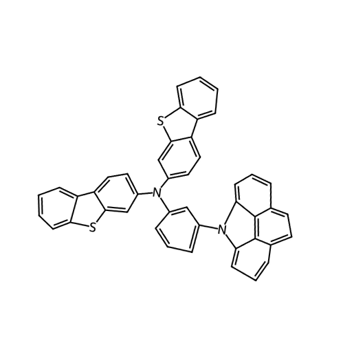 c1cc(N(c2ccc3c(c2)sc2ccccc23)c2ccc3c(c2)sc2ccccc23)cc(-n2c3cccc4ccc5cccc2c5c43)c1